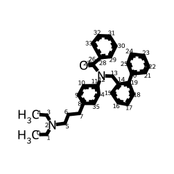 CCN(CC)CCCc1ccc(N(Cc2ccccc2-c2ccccc2)C(=O)c2ccccc2)cc1